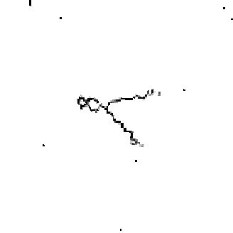 CCCCCCCC(CCCCCCC)N1CCC2(CCC2)CC1